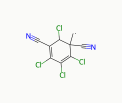 [CH2]C1(C#N)C(Cl)=C(Cl)C(Cl)=C(C#N)C1Cl